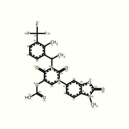 Cc1c(C(C)n2c(=O)c(OC(=O)O)cn(-c3ccc4c(c3)oc(=O)n4C)c2=O)cccc1C(F)(F)F